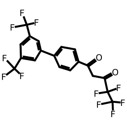 O=C(CC(=O)C(F)(F)C(F)(F)F)c1ccc(-c2cc(C(F)(F)F)cc(C(F)(F)F)c2)cc1